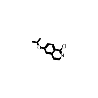 CC(C)Oc1ccc2c(Cl)nccc2c1